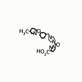 Cc1ccc(Oc2cccc(CN3CCN(C(=O)n4ccc(C(=O)O)n4)CC3)c2)nc1